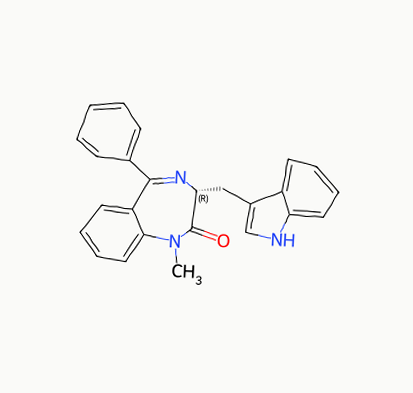 CN1C(=O)[C@@H](Cc2c[nH]c3ccccc23)N=C(c2ccccc2)c2ccccc21